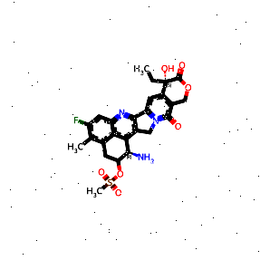 CC[C@@]1(O)C(=O)OCc2c1cc1n(c2=O)Cc2c-1nc1cc(F)c(C)c3c1c2[C@@H](N)C(OS(C)(=O)=O)C3